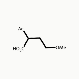 COCCC(C(C)=O)C(=O)O